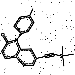 Cc1ccc(-n2c(=O)ccc3ccc(C#C[Si](C)(C)C)cc32)cc1